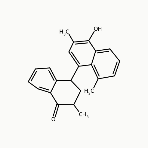 Cc1cc(C2CC(C)C(=O)c3ccccc32)c2c(C)cccc2c1O